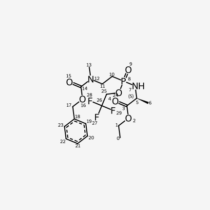 CCOC(=O)[C@H](C)NP(=O)(CCN(C)C(=O)OCc1ccccc1)OCC(F)(F)F